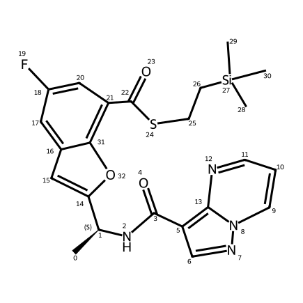 C[C@H](NC(=O)c1cnn2cccnc12)c1cc2cc(F)cc(C(=O)SCC[Si](C)(C)C)c2o1